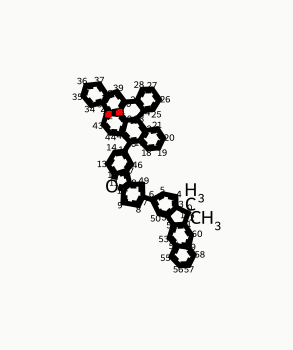 CC1(C)c2ccc(-c3ccc4oc5ccc(-c6c7ccccc7c(-c7ccccc7-c7ccc8ccccc8c7)c7ccccc67)cc5c4c3)cc2-c2cc3ccccc3cc21